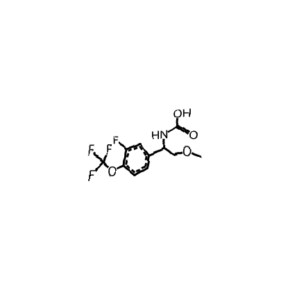 COCC(NC(=O)O)c1ccc(OC(F)(F)F)c(F)c1